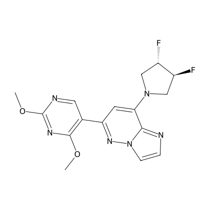 COc1ncc(-c2cc(N3C[C@H](F)[C@@H](F)C3)c3nccn3n2)c(OC)n1